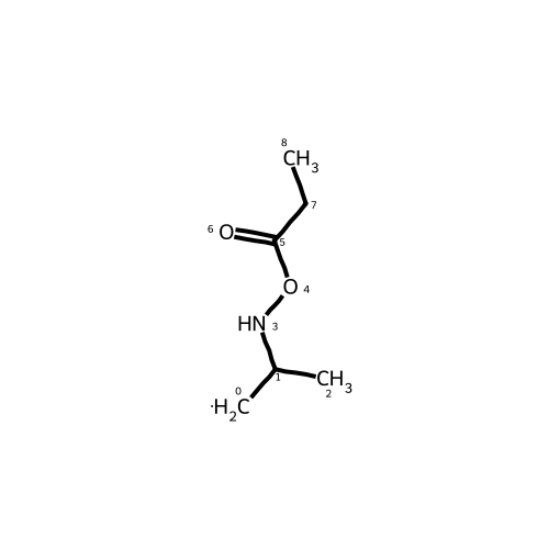 [CH2]C(C)NOC(=O)CC